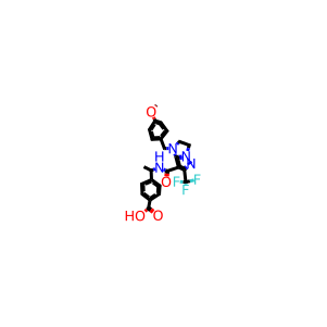 COc1ccc(CN2CCn3nc(C(F)(F)F)c(C(=O)NC(C)c4ccc(C(=O)O)cc4)c32)cc1